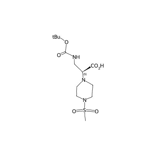 CC(C)(C)OC(=O)NC[C@@H](C(=O)O)N1CCN(S(C)(=O)=O)CC1